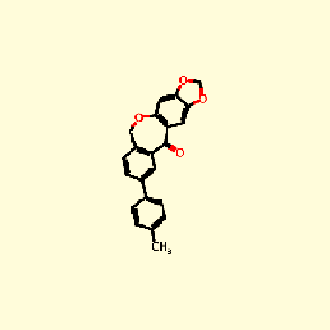 Cc1ccc(-c2ccc3c(c2)C(=O)c2cc4c(cc2OC3)OCO4)cc1